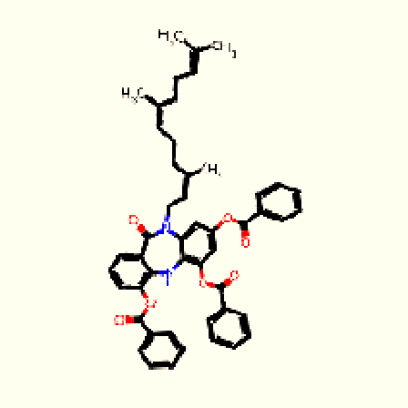 CC(C)=CCCC(C)=CCCC(C)=CCN1C(=O)c2cccc(OC(=O)c3ccccc3)c2Nc2c(OC(=O)c3ccccc3)cc(OC(=O)c3ccccc3)cc21